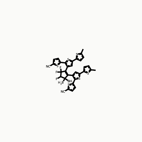 BC1(B)C(c2cc(-c3ccc(C)s3)sc2-c2ccc(C#N)s2)=C(c2cc(-c3ccc(C)s3)sc2-c2ccc(C#N)s2)C(F)(F)C1F